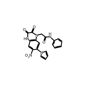 O=C(Cn1c(=O)c(=O)[nH]c2cc([N+](=O)[O-])c(-n3cccc3)cc21)Nc1ccccc1